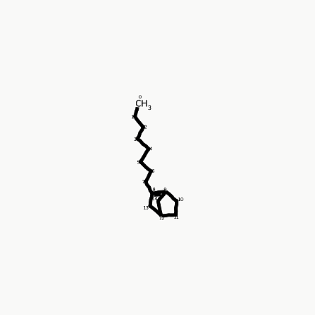 CCCCCCCCC1=C2CCC(C1)C2